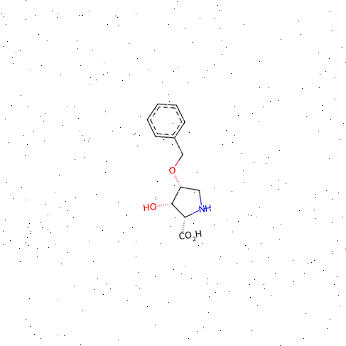 O=C(O)[C@H]1NC[C@@H](OCc2ccccc2)[C@H]1O